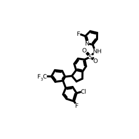 O=S(=O)(Nc1cccc(F)n1)c1ccc2c(c1)CCC2c1ccc(C(F)(F)F)cc1-c1ccc(F)c(Cl)c1